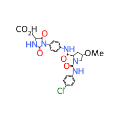 COC1CC(C(=O)Nc2ccc(N3C(=O)NC(CC(=O)O)C3=O)cc2)N(C(=O)Nc2ccc(Cl)cc2)C1